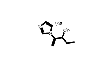 Br.C=C(C(O)CC)n1ccnc1